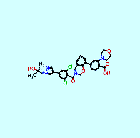 CC(C)(O)Cn1cc(-c2cc(Cl)c(C(=O)N3COc4c(cccc4-c4ccc(C(=O)O)c(N5CCOCC5)c4)C3)c(Cl)c2)cn1